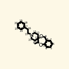 CC1Oc2ccccc2COC12CCN(CCc1ccccc1)CC2